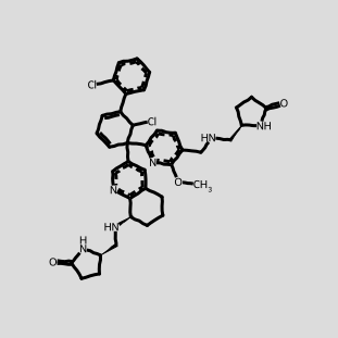 COc1nc(C2(c3cnc4c(c3)CCC[C@H]4NC[C@H]3CCC(=O)N3)C=CC=C(c3ccccc3Cl)C2Cl)ccc1CNC[C@H]1CCC(=O)N1